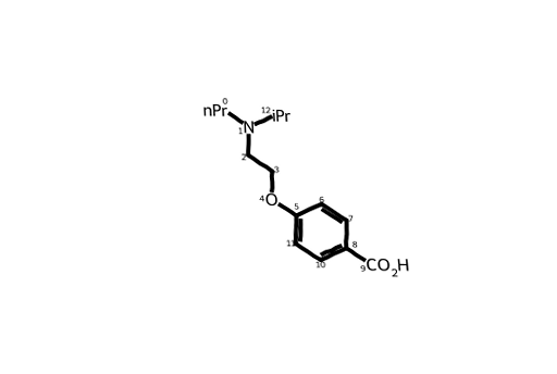 CCCN(CCOc1ccc(C(=O)O)cc1)C(C)C